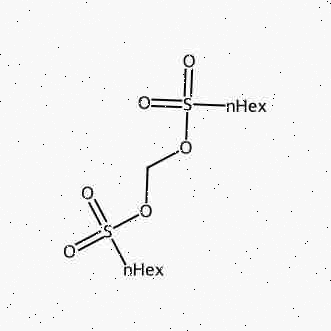 CCCCCCS(=O)(=O)OCOS(=O)(=O)CCCCCC